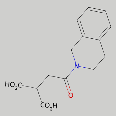 O=C(O)C(CC(=O)N1CCc2ccccc2C1)C(=O)O